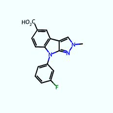 Cn1cc2c3cc(C(=O)O)ccc3n(-c3cccc(F)c3)c2n1